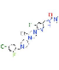 CC[C@H]1CN(c2ncc(CNC(=O)N(C)C)cc2Cl)CCN1C1CCN(Cc2ccc(Cl)cc2F)CC1